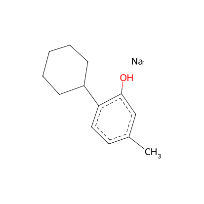 Cc1ccc(C2CCCCC2)c(O)c1.[Na]